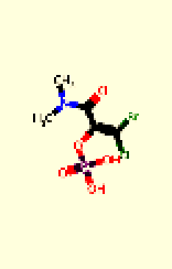 CN(C)C(=O)C(OP(=O)(O)O)=C(Cl)Br